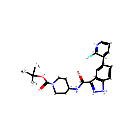 CC(C)(C)OC(=O)N1CCC(NC(=O)c2n[nH]c3ccc(-c4cccnc4F)cc23)CC1